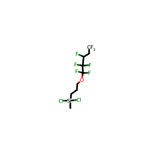 C[Si](Cl)(Cl)CCCOC(F)(F)C(F)(F)C(F)CC(F)(F)F